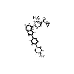 CC(C)N1CCN(c2ccc(-c3cc4c(N5CCN(C(=O)C6CC6)[C@H](C)C5)ccnn4c3)cc2)CC1